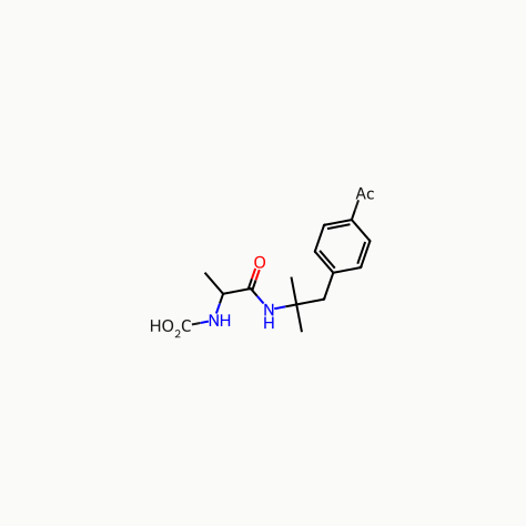 CC(=O)c1ccc(CC(C)(C)NC(=O)C(C)NC(=O)O)cc1